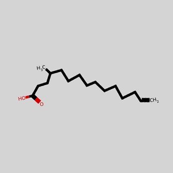 C=CCCCCCCCCCC(C)CCC(=O)O